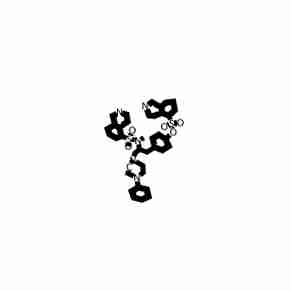 CN(C(Cc1ccc(OS(=O)(=O)c2cccc3cnccc23)cc1)CN1CCN(c2ccccc2)CC1)S(=O)(=O)c1cccc2cnccc12